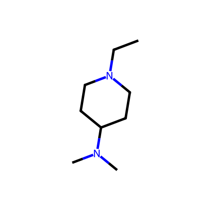 CCN1CCC(N(C)C)CC1